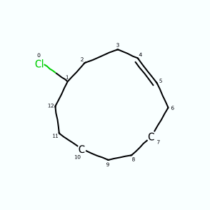 ClC1CC/C=C\CCCCCCC1